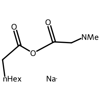 CCCCCCCC(=O)OC(=O)CNC.[Na]